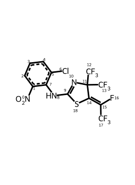 O=[N+]([O-])c1cccc(Cl)c1NC1=NC(C(F)(F)F)(C(F)(F)F)/C(=C(\F)C(F)(F)F)S1